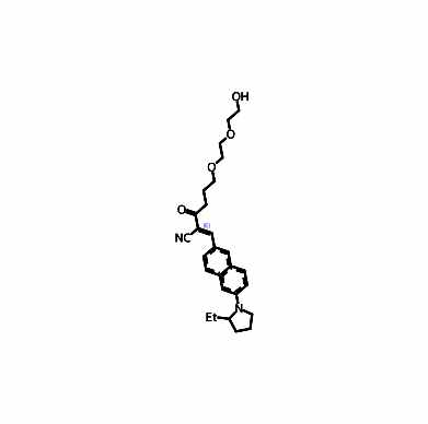 CCC1CCCN1c1ccc2cc(/C=C(\C#N)C(=O)CCCOCCOCCO)ccc2c1